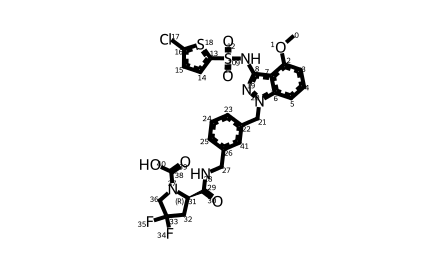 COc1cccc2c1c(NS(=O)(=O)c1ccc(Cl)s1)nn2Cc1cccc(CNC(=O)[C@H]2CC(F)(F)CN2C(=O)O)c1